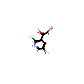 O=C(CBr)c1cc(Cl)cnc1Cl